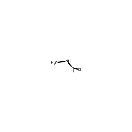 CNNCl